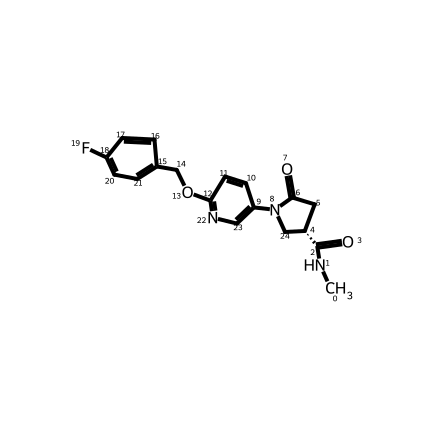 CNC(=O)[C@H]1CC(=O)N(c2ccc(OCc3ccc(F)cc3)nc2)C1